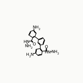 NNC(=O)c1ccc(N)cc1-c1cccc(-c2cc(N)ccc2C(=O)NN)c1